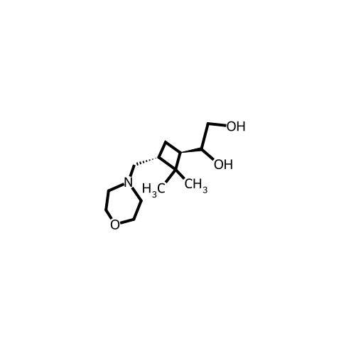 CC1(C)[C@H](CN2CCOCC2)C[C@H]1C(O)CO